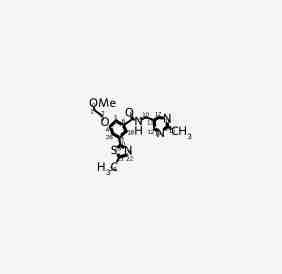 COCCOc1cc(C(=O)NCc2cnc(C)nc2)cc(-c2ncc(C)s2)c1